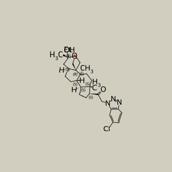 CCOC[C@]12CC[C@@](C)(O)C[C@@H]1CC[C@H]1[C@@H]3CC[C@H](C(=O)Cn4nnc5ccc(Cl)cc54)[C@@]3(C)CC[C@@]12C